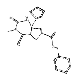 CN1C(=N)NC2(c3cccs3)CN(C(=O)OCc3ccccc3)CC2C1=O